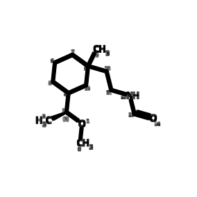 CO[C@@H](C)C1CCCC(C)(CCNC=O)C1